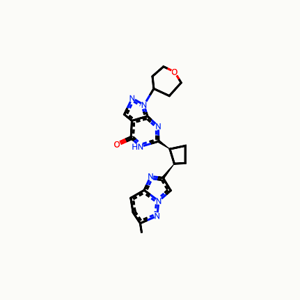 Cc1ccc2nc([C@@H]3CC[C@@H]3c3nc4c(cnn4C4CCOCC4)c(=O)[nH]3)cn2n1